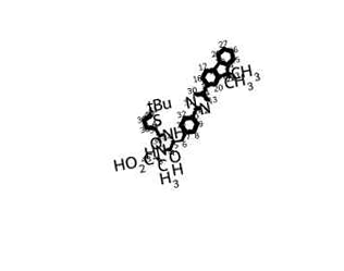 C[C@@H](NC(O)[C@H](Cc1ccc(-c2ncc(-c3ccc4c(c3)C(C)(C)c3ccccc3-4)cn2)cc1)NC(=O)c1ccc(C(C)(C)C)s1)C(=O)O